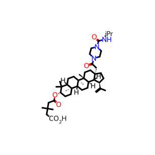 C=C(C)[C@@H]1CC[C@]2(CC(=O)N3CCN(C(=O)NC(C)C)CC3)CC[C@]3(C)[C@H](CC[C@@H]4[C@@]5(C)CC[C@H](OC(=O)CC(C)(C)CC(=O)O)C(C)(C)[C@@H]5CC[C@]43C)[C@@H]12